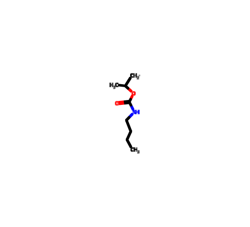 [CH2]C(C)OC(=O)NCCCC